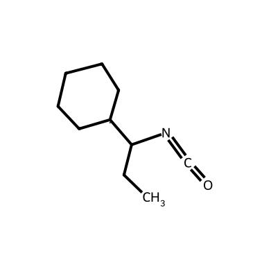 CCC(N=C=O)[C]1CCCCC1